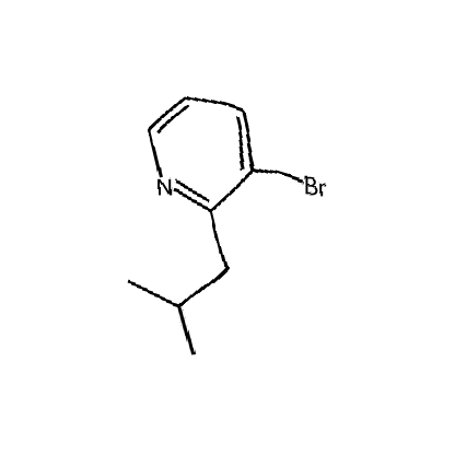 CC(C)Cc1ncccc1Br